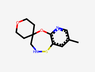 Cc1cnc2c(c1)SNCC1(CCOCC1)O2